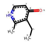 CCc1c(C)[nH]ccc1=O